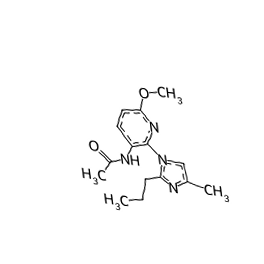 CCCc1nc(C)cn1-c1nc(OC)ccc1NC(C)=O